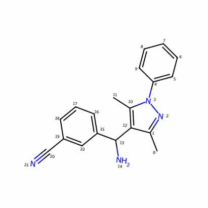 Cc1nn(-c2ccccc2)c(C)c1C(N)c1cccc(C#N)c1